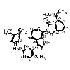 Cc1cnc(Nc2cc(C)n(C)n2)nc1-c1c[nH]c2c(N3Cc4cccc(N(C)C)c4C3=O)cccc12